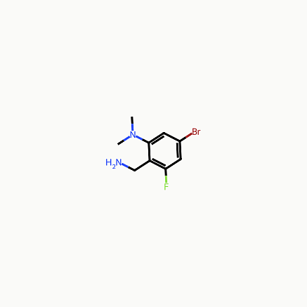 CN(C)c1cc(Br)cc(F)c1CN